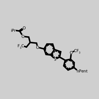 CCCCCc1ccc(-c2cc3ccc(OCC(COC(=O)C(C)C)CC(F)(F)F)cc3s2)c(OC(F)(F)F)c1